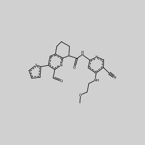 COCCNc1cc(NC(=O)N2CCCc3cc(-c4cccs4)c(C=O)nc32)ncc1C#N